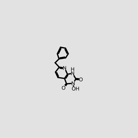 O=c1[nH]c2nc(Cc3ccccc3)ccc2c(=O)n1O